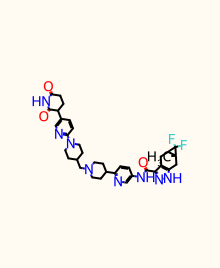 CC12Cc3[nH]nc(C(=O)Nc4ccc(C5CCN(CC6CCN(c7ccc(C8CCC(=O)NC8=O)cn7)CC6)CC5)nc4)c3CC1C2(F)F